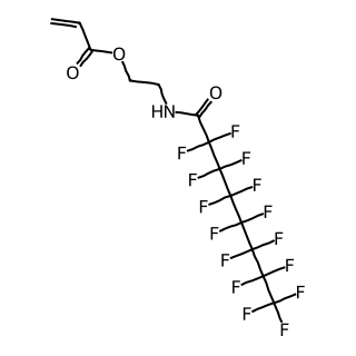 C=CC(=O)OCCNC(=O)C(F)(F)C(F)(F)C(F)(F)C(F)(F)C(F)(F)C(F)(F)C(F)(F)F